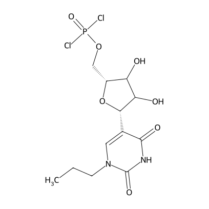 CCCn1cc([C@@H]2O[C@H](COP(=O)(Cl)Cl)C(O)C2O)c(=O)[nH]c1=O